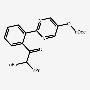 CCCCCCCCCCOc1cnc(-c2ccccc2C(=O)C(CCC)CCCC)nc1